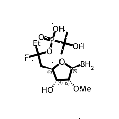 B[C@@H]1O[C@H](CC(F)(CC)OP(=O)(O)C(C)(C)O)[C@@H](O)[C@H]1OC